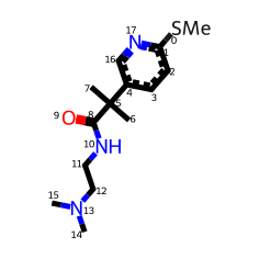 CSc1ccc(C(C)(C)C(=O)NCCN(C)C)cn1